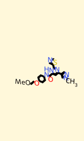 COCCOC1CCC(NC(=O)c2cc(-c3cnn(C)c3)nc(-c3cncs3)n2)CC1